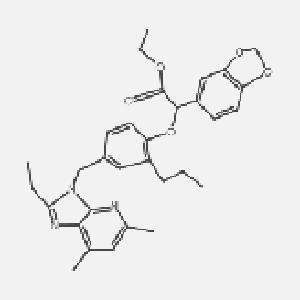 CCCc1cc(Cn2c(CC)nc3c(C)cc(C)nc32)ccc1OC(C(=O)OCC)c1ccc2c(c1)OCO2